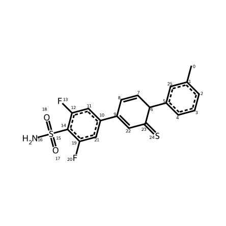 Cc1cccc(C2C=CC(c3cc(F)c(S(N)(=O)=O)c(F)c3)=CC2=S)c1